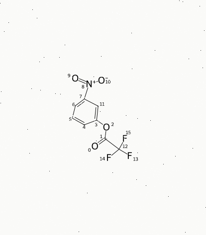 O=C(Oc1cccc([N+](=O)[O-])c1)C(F)(F)F